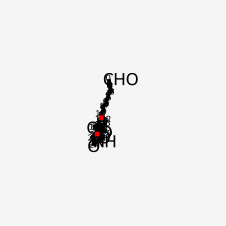 O=CC#CCCCCCCCCc1ccc2c(c1)C(=O)N(C1CCC(=O)NC1=O)C2=O